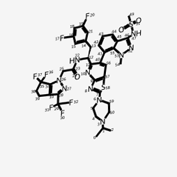 CC(C)N1CCN(c2nc3nc([C@H](Cc4cc(F)cc(F)c4)NC(=O)Cn4nc(C(F)(F)F)c5c4C(F)(F)CC5)c(-c4cccc5c(NS(C)(=O)=O)nn(C)c45)cc3s2)CC1